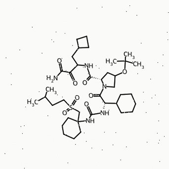 CC(C)CCS(=O)(=O)CC1(NC(=O)N[C@H](C(=O)N2CC(OC(C)(C)C)C[C@H]2C(=O)NC(CC2CCC2)C(=O)C(N)=O)C2CCCCC2)CCCCC1